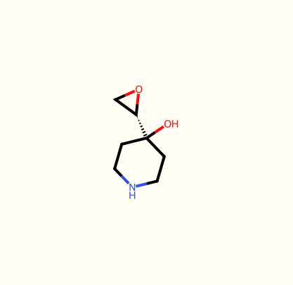 OC1([C@@H]2CO2)CCNCC1